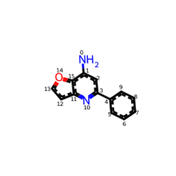 Nc1cc(-c2ccccc2)nc2ccoc12